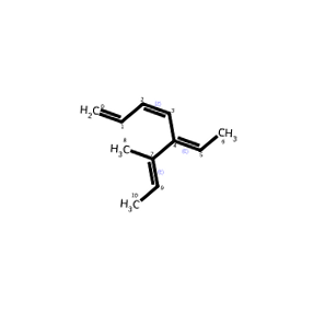 C=C\C=C/C(=C\C)C(/C)=C/C